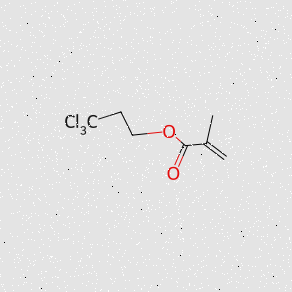 C=C(C)C(=O)OCCC(Cl)(Cl)Cl